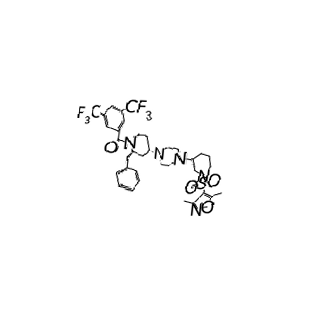 Cc1noc(C)c1S(=O)(=O)N1CCCC(N2CCN([C@H]3CCN(C(=O)c4cc(C(F)(F)F)cc(C(F)(F)F)c4)[C@H](Cc4ccccc4)C3)CC2)C1